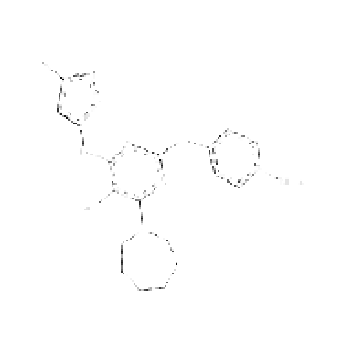 COc1c(Nc2cc(C)[nH]n2)nc(Sc2ccc(NC(C)=O)cc2)nc1N1CCCCCC1